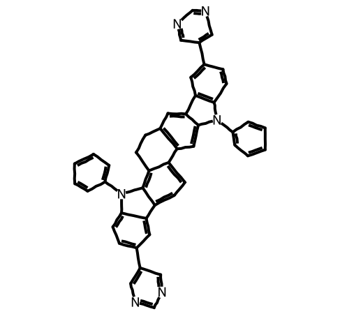 c1ccc(-n2c3ccc(-c4cncnc4)cc3c3cc4c(cc32)-c2ccc3c5cc(-c6cncnc6)ccc5n(-c5ccccc5)c3c2CC4)cc1